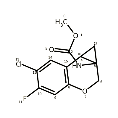 COC(=O)NC12COc3cc(F)c(Cl)cc3C1C2